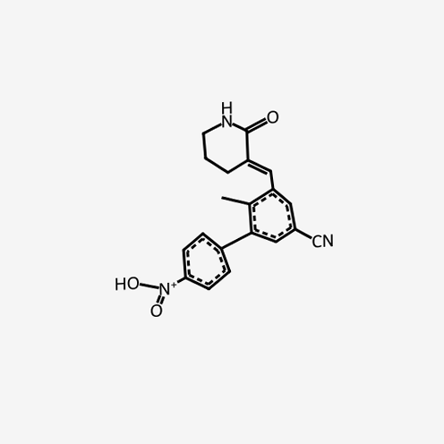 Cc1c(/C=C2\CCCNC2=O)cc(C#N)cc1-c1ccc([N+](=O)O)cc1